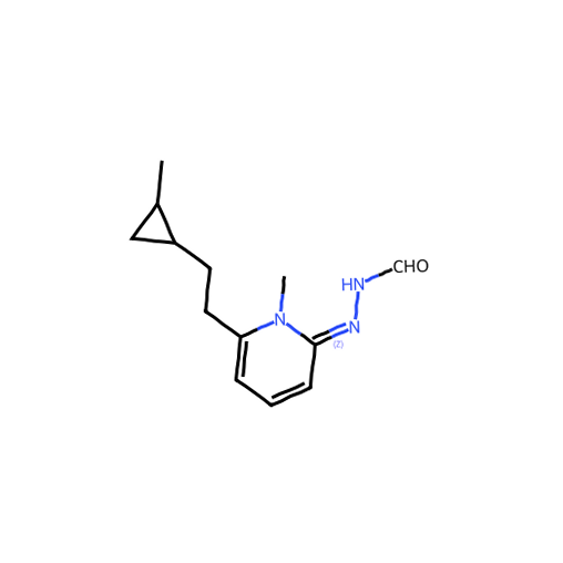 CC1CC1CCc1ccc/c(=N/NC=O)n1C